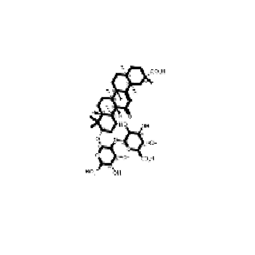 CC1(C)[C@@H](O[C@H]2OC(C(=O)O)[C@@H](O)[C@H](O)C2O[C@@H]2OC(C(=O)O)[C@@H](O)[C@H](O)C2O)CC[C@]2(C)[C@H]3C(=O)C=C4[C@@H]5C[C@@](C)(C(=O)O)CC[C@]5(C)CC[C@@]4(C)[C@]3(C)CC[C@@H]12